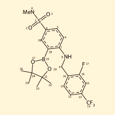 CNS(=O)(=O)c1ccc(NCc2ccc(C(F)(F)F)cc2F)c(B2OC(C)(C)C(C)(C)O2)c1